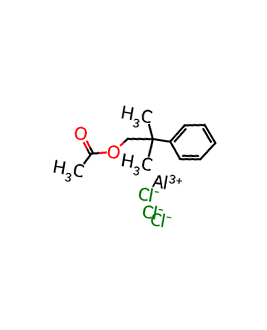 CC(=O)OCC(C)(C)c1ccccc1.[Al+3].[Cl-].[Cl-].[Cl-]